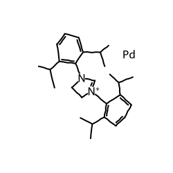 CC(C)c1cccc(C(C)C)c1N1C=[N+](c2c(C(C)C)cccc2C(C)C)CC1.[Pd]